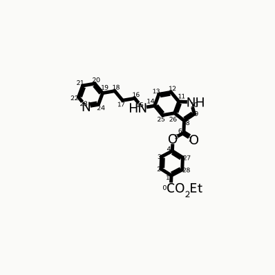 CCOC(=O)c1ccc(OC(=O)c2c[nH]c3ccc(NCCCc4cccnc4)cc23)cc1